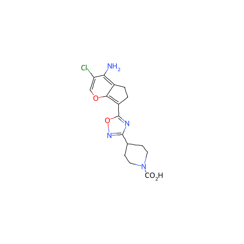 NC1=C2CCC(c3nc(C4CCN(C(=O)O)CC4)no3)=C2OC=C1Cl